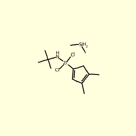 CC1=C(C)C[C]([Zr]([Cl])([Cl])[NH]C(C)(C)C)=C1.C[SiH2]C